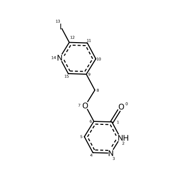 O=c1[nH]nccc1OCc1ccc(I)nc1